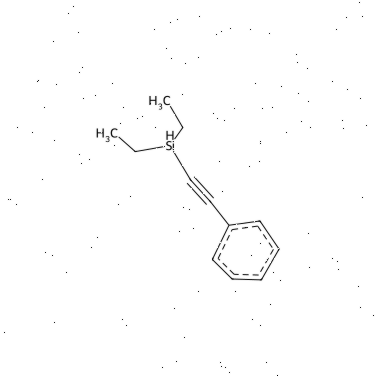 CC[SiH](C#Cc1ccccc1)CC